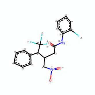 O=C([CH]C(C[N+](=O)[O-])C(c1ccccc1)C(F)(F)F)Nc1ccccc1F